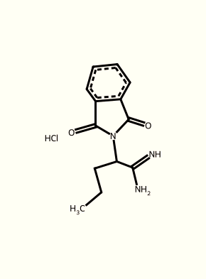 CCCC(C(=N)N)N1C(=O)c2ccccc2C1=O.Cl